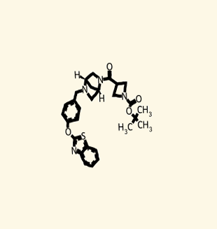 CC(C)(C)OC(=O)N1CC(C(=O)N2C[C@@H]3C[C@H]2CN3Cc2ccc(Oc3nc4ccccc4s3)cc2)C1